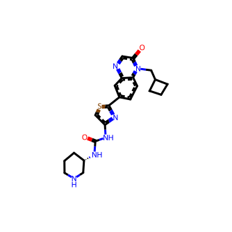 O=C(Nc1csc(-c2ccc3c(c2)ncc(=O)n3CC2CCC2)n1)N[C@H]1CCCNC1